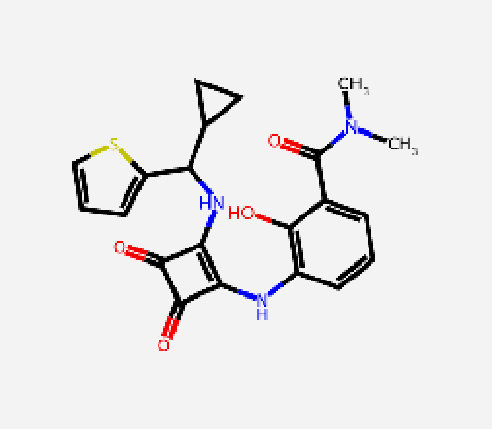 CN(C)C(=O)c1cccc(Nc2c(NC(c3cccs3)C3CC3)c(=O)c2=O)c1O